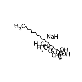 C=C.CCCCCCCCCCCCCCCCOP(=O)(O)O.CCOCC.[NaH]